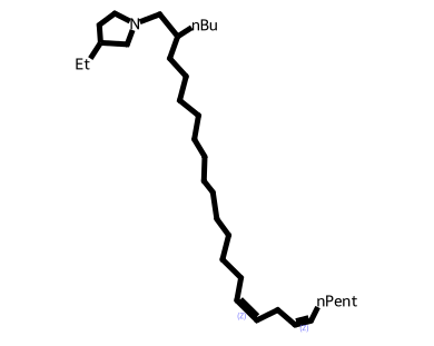 CCCCC/C=C\C/C=C\CCCCCCCCCCCCC(CCCC)CN1CCC(CC)C1